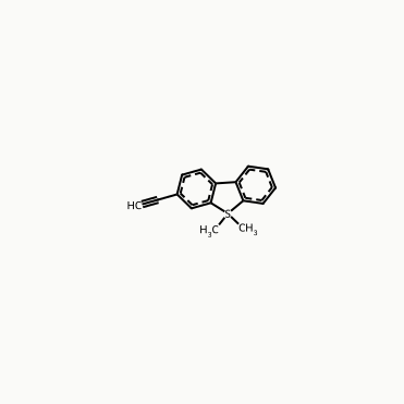 C#Cc1ccc2c(c1)S(C)(C)c1ccccc1-2